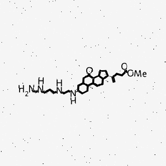 C=C(CCC(=O)OC)[C@H]1CCC2C3C(=O)CC4C[C@@H](NCCNCCCNCN)CC[C@]4(C)C3CC[C@@]21C